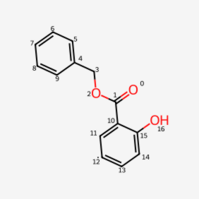 O=C(OCc1ccccc1)c1c[c]ccc1O